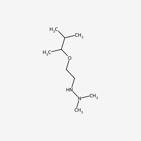 CC(C)C(C)OCCNN(C)C